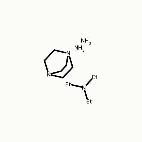 C1CN2CCN1CC2.CCN(CC)CC.N.N